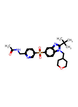 CC(=O)NCc1ccc(S(=O)(=O)c2ccc3c(c2)nc(C(C)(C)C)n3CC2CCOCC2)cn1